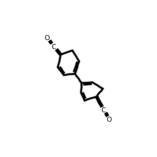 O=C=C1C=CC(C2=CCC(=C=O)C=C2)=CC1